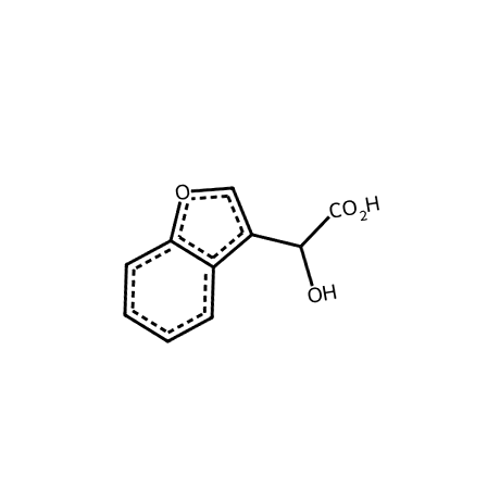 O=C(O)C(O)c1coc2ccccc12